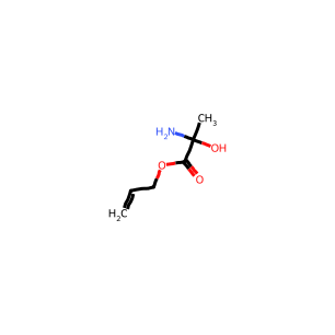 C=CCOC(=O)C(C)(N)O